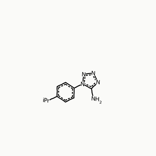 CC(C)c1ccc(-n2nnnc2N)cc1